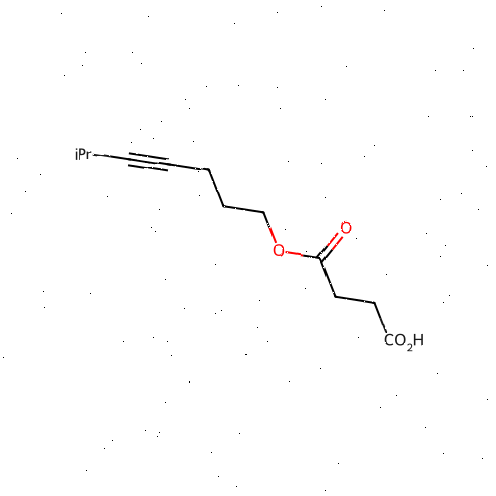 CC(C)C#CCCCOC(=O)CCC(=O)O